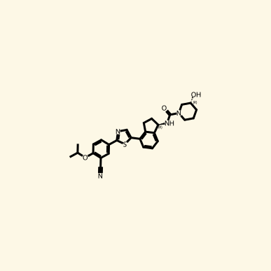 CC(C)Oc1ccc(-c2ncc(-c3cccc4c3CC[C@H]4NC(=O)N3CCC[C@@H](O)C3)s2)cc1C#N